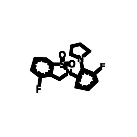 O=S1(=O)c2cccc(F)c2CN1c1cccc(F)c1N1CCCC1